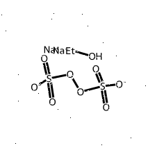 CCO.O=S(=O)([O-])OOS(=O)(=O)[O-].[Na+].[Na+]